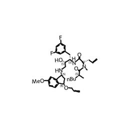 C=CCO[C@@H]1C[C@H](NC[C@H](O)[C@H](Cc2cc(F)cc(F)c2)NC(=O)[C@H](CC=C)N(C)C(=O)[C@@H](C)CCCC)c2cc(OC)ccc21